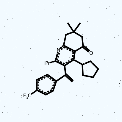 C=C(c1ccc(C(F)(F)F)cc1)c1c(C(C)C)nc2c(c1C1CCCC1)C(=O)CC(C)(C)C2